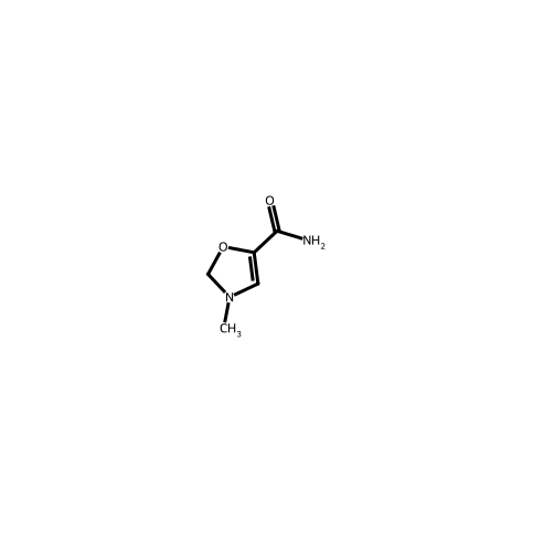 CN1C=C(C(N)=O)OC1